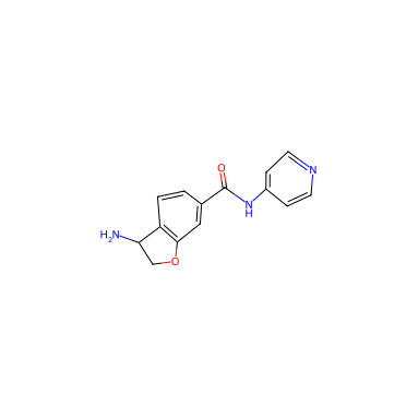 NC1COc2cc(C(=O)Nc3ccncc3)ccc21